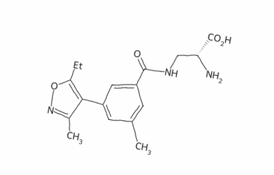 CCc1onc(C)c1-c1cc(C)cc(C(=O)NC[C@@H](N)C(=O)O)c1